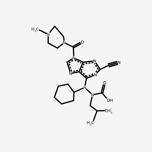 CC(C)CN(C(=O)O)N(c1nc(C#N)nc2c1ncn2C(=O)N1CCN(C)CC1)C1CCCCC1